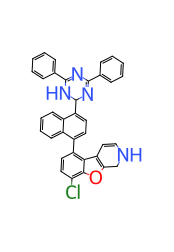 Clc1ccc(-c2ccc(C3N=C(c4ccccc4)N=C(c4ccccc4)N3)c3ccccc23)c2c3c(oc12)CNC=C3